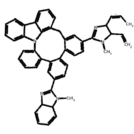 C=CC1C(/C=C\C)N=C(c2ccc3c(c2)Cc2cccc4c5ccccc5n(c24)-c2ccccc2-c2cc(C4=NC5C=CC=CC5N4C)ccc2-3)N1C